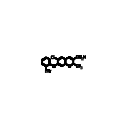 CCCc1ccccc1Oc1cc2c(cc1Cl)C=C(C(=O)O)C(C(F)(F)F)O2